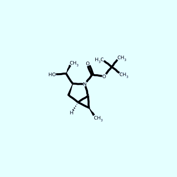 C[C@H](O)[C@@H]1C[C@H]2C([C@H]2C)N1C(=O)OC(C)(C)C